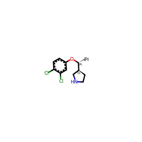 CC(C)[C@@H](Oc1ccc(Cl)c(Cl)c1)[C@H]1CCNC1